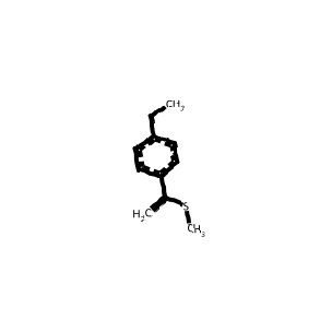 C=C(SC)c1ccc(CC)cc1